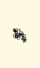 CC(C)[C@@H](NC(=O)c1cccc(C(F)(F)F)c1)C(=O)N1CCC2(CC1)C(=O)N(C)C(=O)N2c1ccc2[nH]ncc2c1